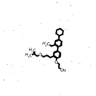 C=C(C)COCCCc1cc(-c2ccc(C3CCCCC3)cc2CC)ccc1OCCO